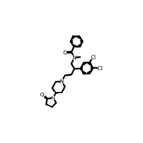 CN(CC(CCN1CCC(N2CCCC2=O)CC1)c1ccc(Cl)c(Cl)c1)C(=O)c1ccccc1